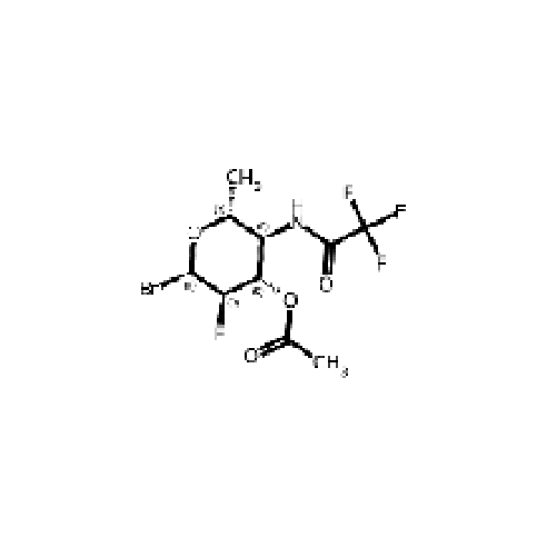 CC(=O)O[C@@H]1[C@@H](F)[C@@H](Br)O[C@H](C)[C@H]1NC(=O)C(F)(F)F